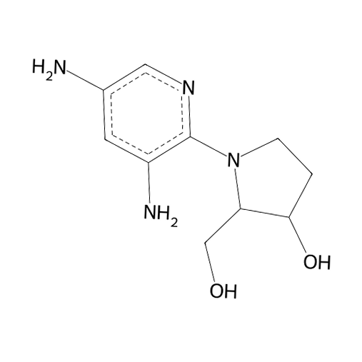 Nc1cnc(N2CCC(O)C2CO)c(N)c1